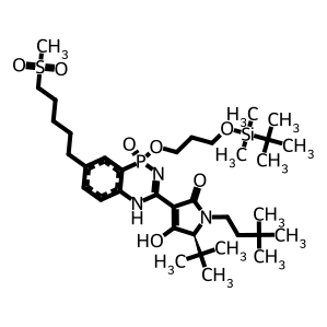 CC(C)(C)CCN1C(=O)C(C2=NP(=O)(OCCCO[Si](C)(C)C(C)(C)C)c3cc(CCCCCS(C)(=O)=O)ccc3N2)=C(O)[C@@H]1C(C)(C)C